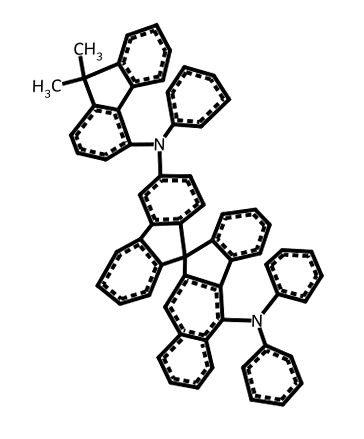 CC1(C)c2ccccc2-c2c(N(c3ccccc3)c3ccc4c(c3)-c3ccccc3C43c4ccccc4-c4c3cc3ccccc3c4N(c3ccccc3)c3ccccc3)cccc21